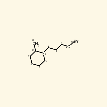 CC(C)OCCCN1CCCCC1C